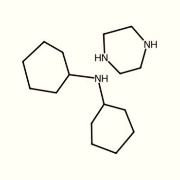 C1CCC(NC2CCCCC2)CC1.C1CNCCN1